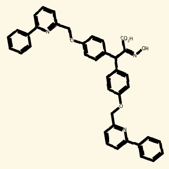 O=C(O)C(=NO)C(c1ccc(OCc2cccc(-c3ccccc3)n2)cc1)c1ccc(OCc2cccc(-c3ccccc3)n2)cc1